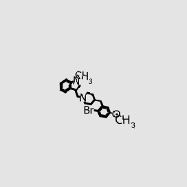 COc1ccc(Br)c(CC2CCN(CC3CN(C)c4ccccc43)CC2)c1